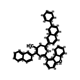 CC1=C(c2ccc3ccccc3c2)N=C(c2cccc3oc4ccccc4c23)N=C(c2ccc3ccc(-c4ccccc4)cc3c2)C1